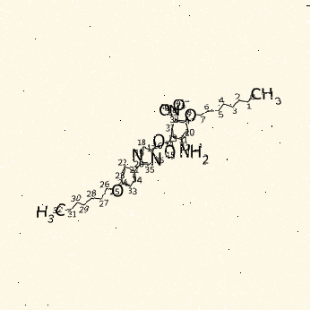 CCCCCCCCOc1cc(N)c(C(=O)Oc2cnc(-c3ccc(OCCCCCCC)cc3)cn2)cc1[N+](=O)[O-]